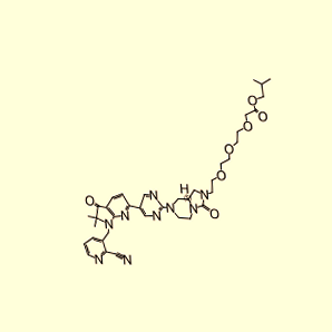 CC(C)COC(=O)COCCOCCOCCN1C[C@@H]2CN(c3ncc(-c4ccc5c(n4)N(Cc4cccnc4C#N)C(C)(C)C5=O)cn3)CCN2C1=O